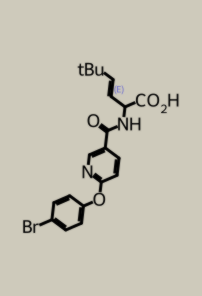 CC(C)(C)/C=C/C(NC(=O)c1ccc(Oc2ccc(Br)cc2)nc1)C(=O)O